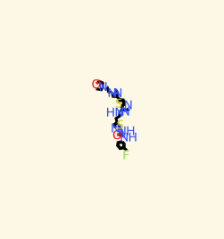 O=C(Nc1cccc(CF)c1)Nc1ncc(CCNc2ncnc3cc(-c4cn(CCN5CCOCC5)cn4)sc23)s1